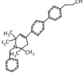 CCCc1ccc(-c2ccc(C3=CC(C)(C)N(Cc4ccccc4)C(C)(C)C3)cc2)cc1